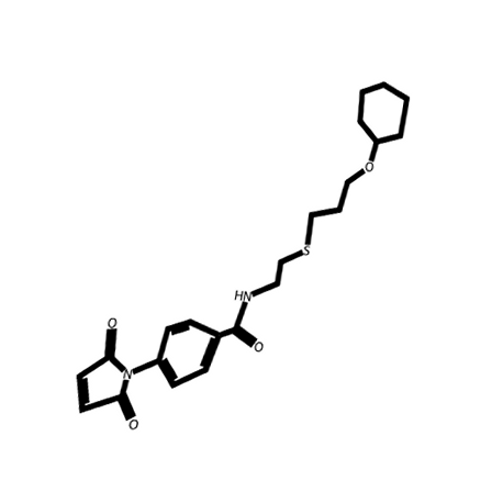 O=C(NCCSCCCOC1CCCCC1)c1ccc(N2C(=O)C=CC2=O)cc1